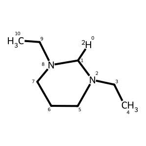 [2H]C1N(CC)CCCN1CC